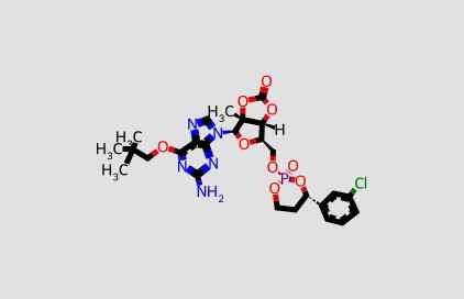 CC(C)(C)COc1nc(N)nc2c1ncn2[C@@H]1O[C@H](CO[P@@]2(=O)OCC[C@@H](c3cccc(Cl)c3)O2)[C@H]2OC(=O)O[C@]21C